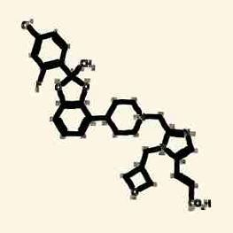 CC1(c2ccc(Cl)cc2F)Oc2cccc(C3CCN(Cc4ncc(/C=C/C(=O)O)n4CC4COC4)CC3)c2O1